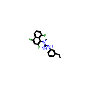 CCc1cccc(NC(=N)N(C)c2c(F)cc(F)c3cccc(F)c23)c1